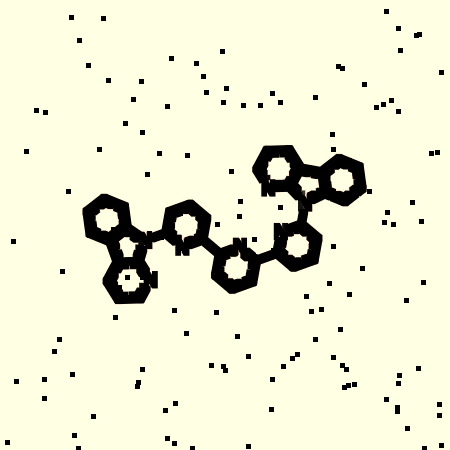 c1cc(-c2cccc(-n3c4ccccc4c4cccnc43)n2)nc(-c2cccc(-n3c4ccccc4c4cccnc43)n2)c1